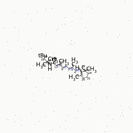 CC1=C(/C=C/C(C)=C/C=C/C(C)=C/C(=O)NC(C)(C)CC(C)(C)C)C(C)(C)CCC1